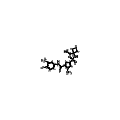 Cc1cc(NC(=O)c2cc(S(=O)(=O)NC3(CO)COC3)cn2C)ccc1F